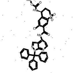 CC(C)(C)OC(=O)N[C@H]1CCS(=O)(=O)c2cc(C(=O)Nc3ccnc4c3cnn4C(c3ccccc3)(c3ccccc3)c3ccccc3)c(Cl)cc21